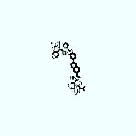 COC(=O)N[C@H](C(=O)N1CCC[C@H]1c1nc2ccc(-c3ccc4cc(-c5cnc([C@@H]6COCCN6C(=O)[C@@H](N)C(C)C)[nH]5)ccc4c3)cc2[nH]1)C1CCOCC1